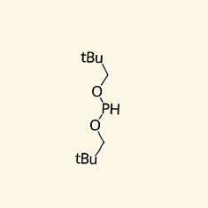 CC(C)(C)COPOCC(C)(C)C